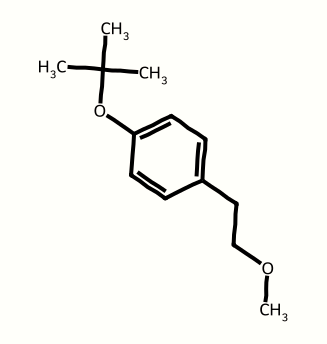 COCCc1ccc(OC(C)(C)C)cc1